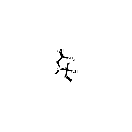 B=C(N)CN(C)C(C)(O)C=C